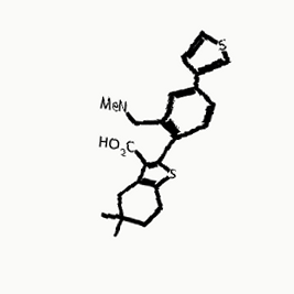 CNCc1cc(-c2ccsc2)ccc1-c1sc2c(c1C(=O)O)CC(C)(C)CC2